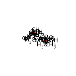 CCn1c(-c2cc(N3CCN4CCOCC4C3)cnc2[C@H](C)OC)c(CC(C)(C)CO)c2cc(-c3cccc(CC(NC(=O)OC(C)(C)C)C(=O)N4CCCC(C(=O)O)N4)c3)ccc21